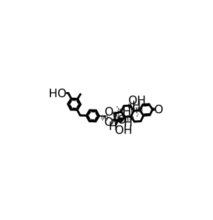 Cc1cc(Cc2ccc([C@@H]3O[C@@H]4C[C@H]5[C@@H]6CCC7=CC(=O)C=C[C@]7(C)[C@H]6[C@@H](O)C[C@]5(C)[C@]4(C(=O)CO)O3)cc2)ccc1CO